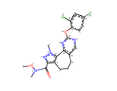 CON(C)C(=O)c1nn(C)c2c1CCCc1cnc(Oc3ccc(Cl)cc3Cl)nc1-2